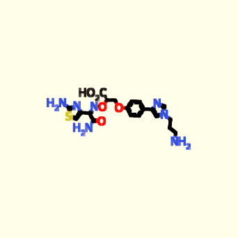 NCCCn1cnc(-c2ccc(OC[C@H](O/N=C(\C(N)=O)c3csc(N)n3)C(=O)O)cc2)c1